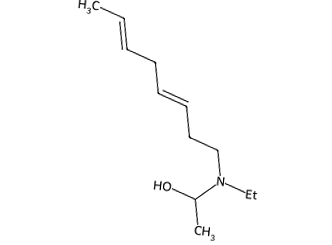 C/C=C/C/C=C/CCN(CC)C(C)O